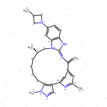 C=C1/N=C2\Nc3ccc(N4CC(C)C4)cc3N2C[C@H](C)CCCCc2c(cnn2C)-c2cc1cc(C)n2